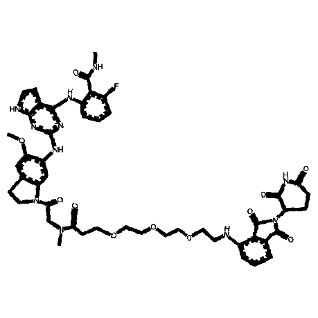 CNC(=O)c1c(F)cccc1Nc1nc(Nc2cc3c(cc2OC)CCN3C(=O)CN(C)C(=O)CCOCCOCCOCCNc2cccc3c2C(=O)N(C2CCC(=O)NC2=O)C3=O)nc2[nH]ccc12